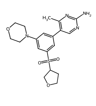 Cc1nc(N)ncc1-c1cc(N2CCOCC2)cc(S(=O)(=O)C2CCOC2)c1